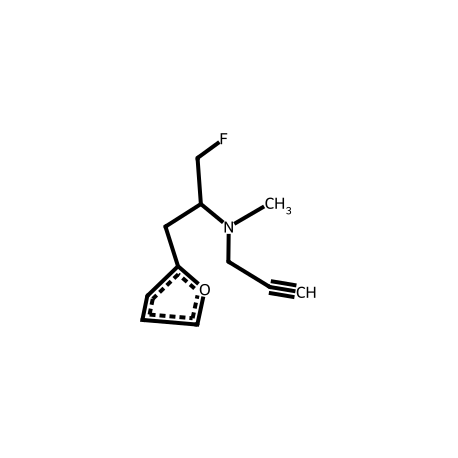 C#CCN(C)C(CF)Cc1ccco1